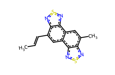 C/C=C/c1cc2c(cc(C)c3nsnc32)c2nsnc12